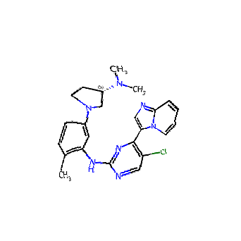 Cc1ccc(N2CC[C@H](N(C)C)C2)cc1Nc1ncc(Cl)c(-c2cnc3ccccn23)n1